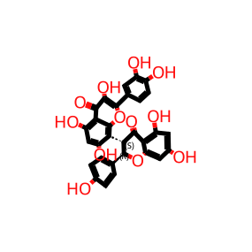 O=C1c2c(O)cc(O)cc2O[C@@H](c2ccc(O)cc2)[C@@H]1c1c(O)cc(O)c2c(=O)c(O)c(-c3ccc(O)c(O)c3)oc12